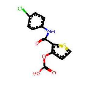 O=C(O)Oc1ccsc1C(=O)Nc1ccc(Cl)cc1